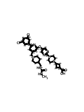 CNC(=O)NCC1CCN(Cc2cc(Oc3cnc(N4CCN(C5CC(C(=O)O)C5)CC4)nc3)nc(-c3cc(Cl)cc(Cl)c3)c2)CC1